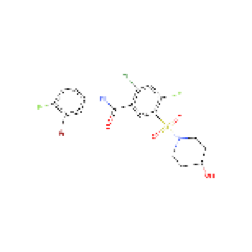 O=C(Nc1ccc(F)c(Br)c1)c1cc(S(=O)(=O)N2CCC(O)CC2)c(F)cc1Cl